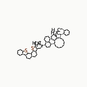 C=Cc1ccccc1C(=C)c1ccccccc(-c2ccc(C(=C)/C=c3\c(=C)sc4c3ccc3ccc5c6ccccc6sc5c34)c3ccccc23)c2ccccc12